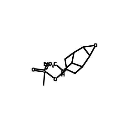 CCOC(=O)NC1C2CC(OS(C)(=O)=O)CC1C1OC21